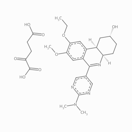 CCOc1cc2c(cc1OC)C(c1cnc(N(C)C)nc1)=N[C@@H]1CC[C@@H](O)C[C@H]21.O=C(O)CCC(=O)C(=O)O